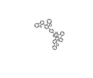 c1cncc(-c2ccccc2-c2nc(-c3ccc(-c4ccc(-c5cccc6c5sc5ccccc56)c5c4oc4ccccc45)cc3)nc(-c3ccc4c(c3)oc3ccccc34)n2)c1